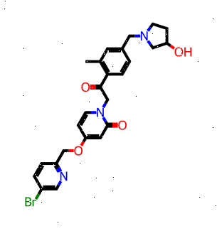 Cc1cc(CN2CCC(O)C2)ccc1C(=O)Cn1ccc(OCc2ccc(Br)cn2)cc1=O